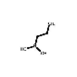 [CH2]CCN(O)O